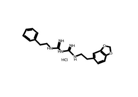 Cl.N=C(NCCc1ccccc1)NC(=N)NCCc1ccc2c(c1)OCO2